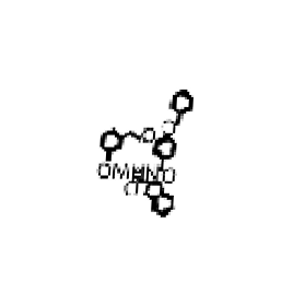 COC(=O)C1(NC(=O)c2ccc(OCc3ccccc3)c(OCCc3cccc(C)c3)c2)Cc2ccccc2C1